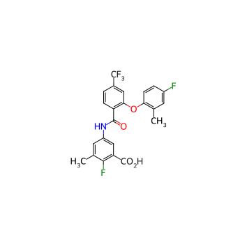 Cc1cc(F)ccc1Oc1cc(C(F)(F)F)ccc1C(=O)Nc1cc(C)c(F)c(C(=O)O)c1